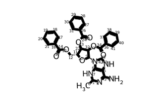 CC1N=C(N)C2=C(N1)N([C@@H]1O[C@H](COC(=O)c3ccccc3)C(OC(=O)c3ccccc3)C1OC(=O)c1ccccc1)CN2